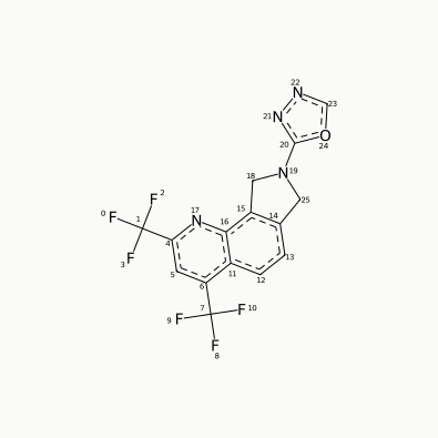 FC(F)(F)c1cc(C(F)(F)F)c2ccc3c(c2n1)CN(c1nnco1)C3